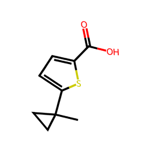 CC1(c2ccc(C(=O)O)s2)CC1